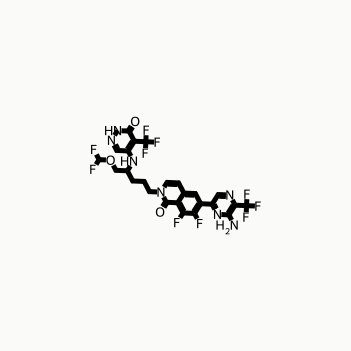 Nc1nc(-c2cc3ccn(CCCC(COC(F)F)Nc4cn[nH]c(=O)c4C(F)(F)F)c(=O)c3c(F)c2F)cnc1C(F)(F)F